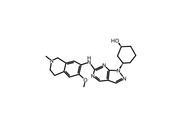 COc1cc2c(cc1Nc1ncc3cnn([C@@H]4CCC[C@H](O)C4)c3n1)CN(C)CC2